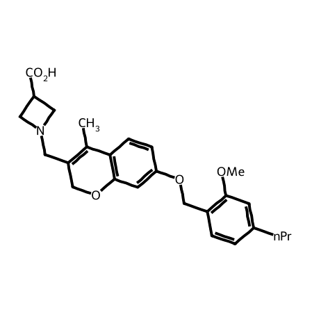 CCCc1ccc(COc2ccc3c(c2)OCC(CN2CC(C(=O)O)C2)=C3C)c(OC)c1